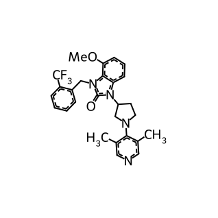 COc1cccc2c1n(Cc1ccccc1C(F)(F)F)c(=O)n2C1CCN(c2c(C)cncc2C)C1